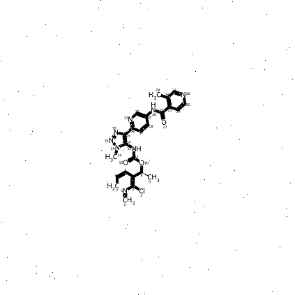 C=N/C(Cl)=C(\C=C/C)[C@@H](C)OC(=O)Nc1c(-c2ccc(NC(=O)c3ccncc3C)cn2)nnn1C